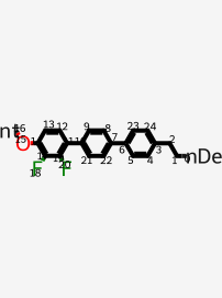 CCCCCCCCCCCCc1ccc(-c2ccc(-c3ccc(OCCCCC)c(F)c3F)cc2)cc1